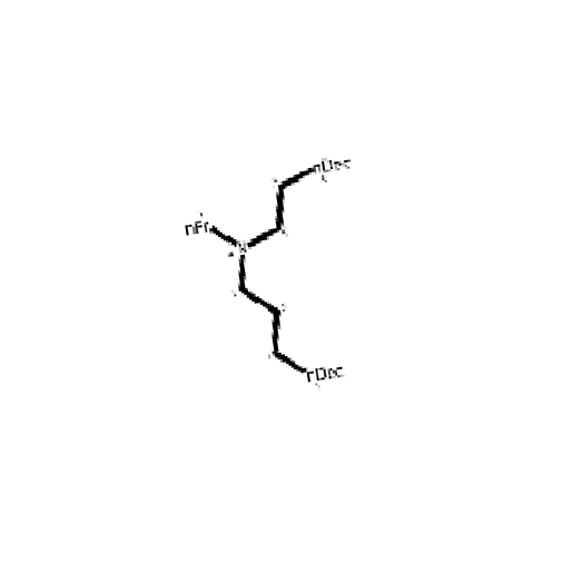 CCCCCCCCCCCCCN(CCC)CCCCCCCCCCCC